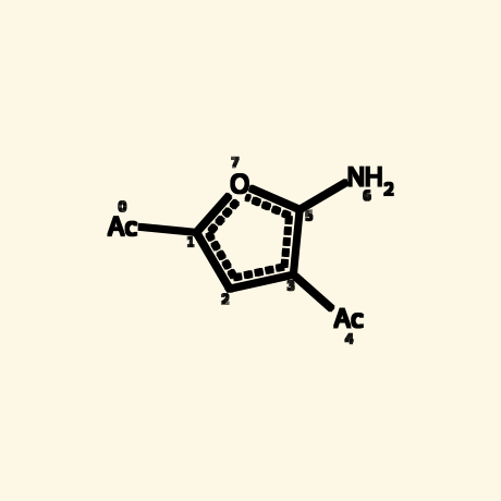 CC(=O)c1cc(C(C)=O)c(N)o1